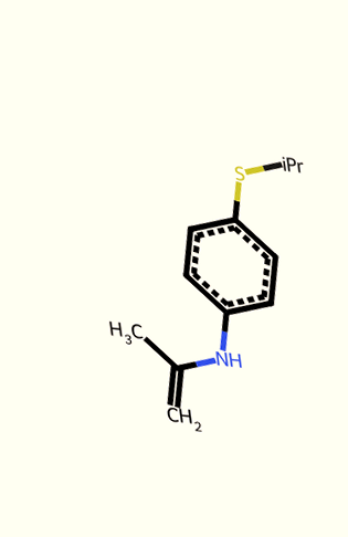 C=C(C)Nc1ccc(SC(C)C)cc1